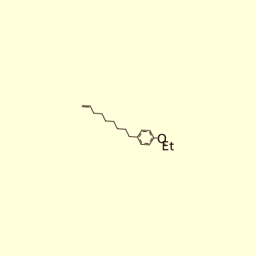 C=CCCCCCCCc1ccc(OCC)cc1